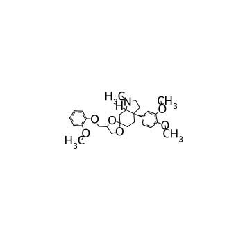 COc1ccc([C@]23CCN(C)[C@H]2CC2(CC3)OCC(COc3ccccc3OC)O2)cc1OC